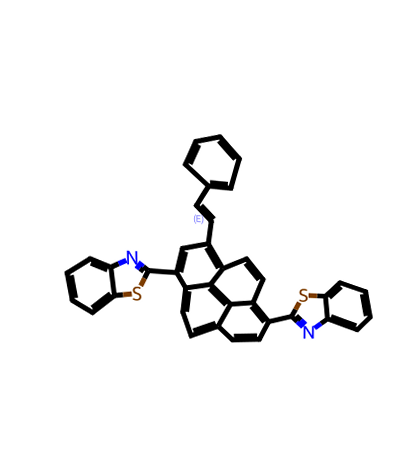 C(=C\c1cc(-c2nc3ccccc3s2)c2ccc3ccc(-c4nc5ccccc5s4)c4ccc1c2c34)/c1ccccc1